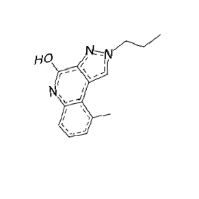 CCCn1cc2c(n1)c(O)nc1cccc(C)c12